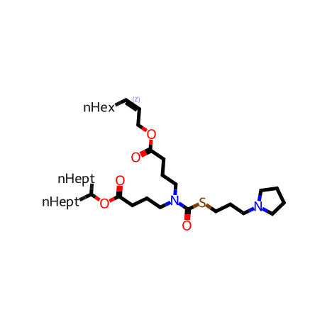 CCCCCC/C=C\COC(=O)CCCN(CCCC(=O)OC(CCCCCCC)CCCCCCC)C(=O)SCCCN1CCCC1